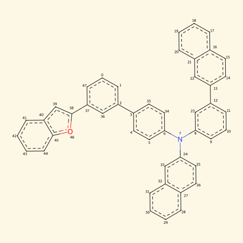 c1cc(-c2ccc(N(c3cccc(-c4ccc5ccccc5c4)c3)c3ccc4ccccc4c3)cc2)cc(-c2cc3ccccc3o2)c1